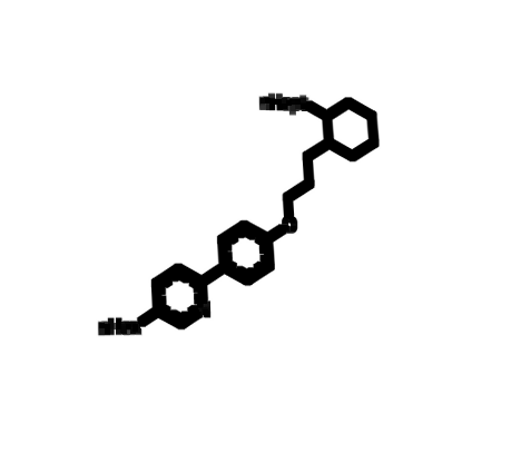 CCCCCCCC1CCCCC1CCCOc1ccc(-c2ccc(CCCCCC)cn2)cc1